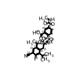 CNS(=O)(=O)c1ccc(S(=O)(=O)NC(=O)Cc2c(C(C)C)cc(C#N)c(F)c2C(C)C)c(C(=O)O)c1